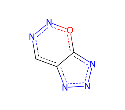 c1nnoc2nnnc1-2